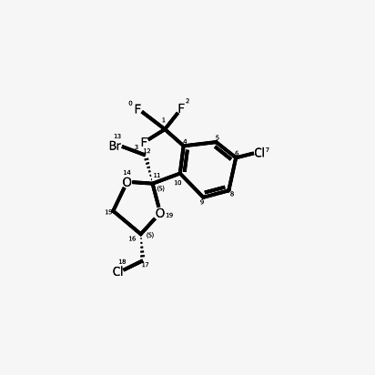 FC(F)(F)c1cc(Cl)ccc1[C@]1(CBr)OC[C@@H](CCl)O1